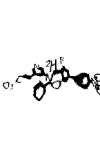 [2H]C(c1ccc(-c2ccc(N(C)C)cc2)cc1F)N(C(=O)C1CCCCC1)c1cncc(/C=C/C(=O)O)c1